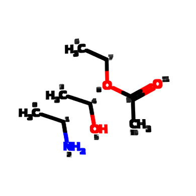 CCN.CCO.CCOC(C)=O